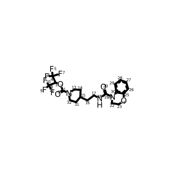 O=C(OC(C(F)(F)F)C(F)(F)F)N1CCC(CCNC(=O)N2CCOc3ccccc32)CC1